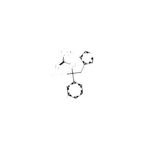 CNC(=N)NC(C=O)(Cc1ccsc1)c1ccccc1